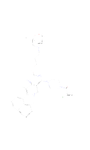 C=C(F)C(=O)N1CCN(c2nc(OCCCN3C[C@@H]4C[C@@]3(C)CO4)nc3c(F)c(-c4cccc5cccc(C)c45)ncc23)CC1